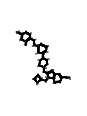 Nc1cnc2c(c1)nc(CN1CCC(c3cccc(OCc4ccc(Cl)cc4F)n3)CC1)n2C[C@@H]1CCO1